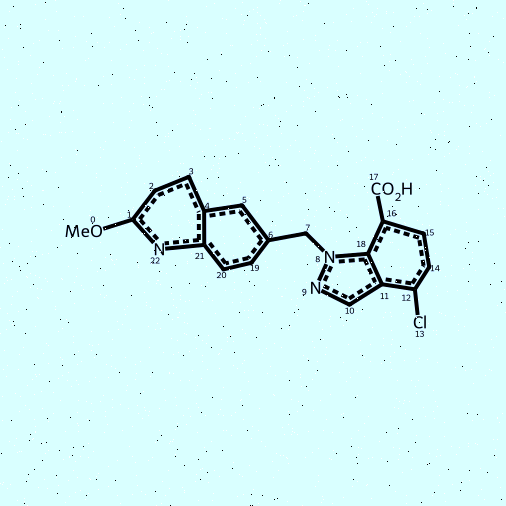 COc1ccc2cc(Cn3ncc4c(Cl)ccc(C(=O)O)c43)ccc2n1